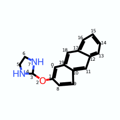 [c]1c(OC2NCCN2)ccc2cc3ccccc3cc12